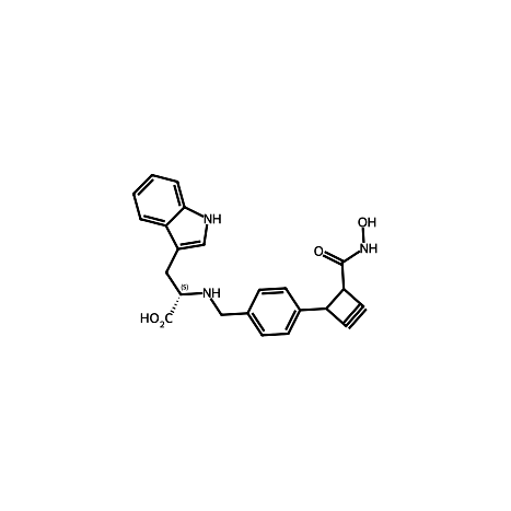 O=C(NO)C1C#CC1c1ccc(CN[C@@H](Cc2c[nH]c3ccccc23)C(=O)O)cc1